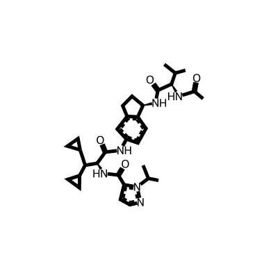 CC(=O)N[C@@H](C(=O)N[C@@H]1CCc2cc(NC(=O)[C@@H](NC(=O)c3ccnn3C(C)C)C(C3CC3)C3CC3)ccc21)C(C)C